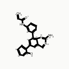 C=CC(=O)Nc1cccc(-c2cc(-c3ccccc3Cl)cc3cnc(N)nc23)c1